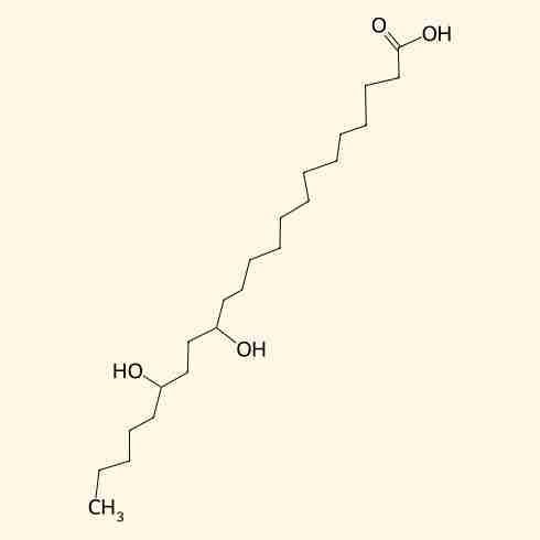 CCCCCC(O)CCC(O)CCCCCCCCCCCCC(=O)O